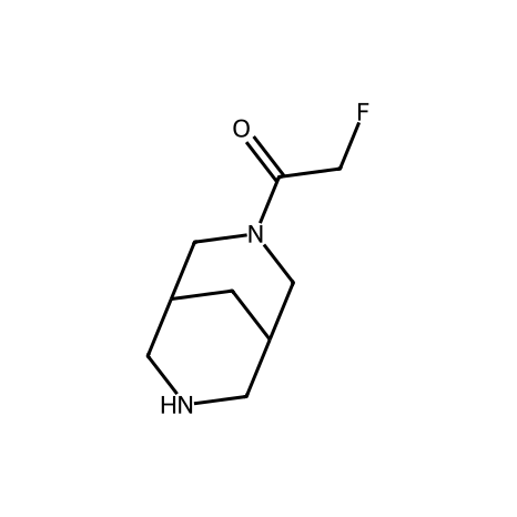 O=C(CF)N1CC2CNCC(C2)C1